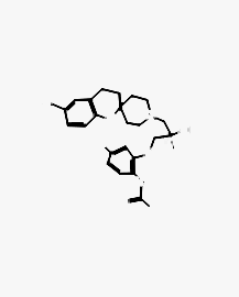 CC(=O)Nc1ccc(O)cc1OC[C@@](C)(O)CN1CCC2(CCc3cc(Cl)ccc3O2)CC1